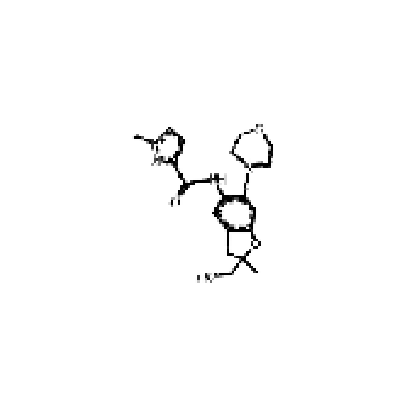 Cn1ccc(C(=O)Nc2cc3c(cc2N2CCOCC2)OC(C)(CO)C3)n1